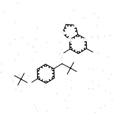 Cc1cc(N[C@@H](c2ccc(OC(F)(F)F)cc2)C(C)(C)O)n2ncnc2n1